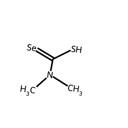 CN(C)C(S)=[Se]